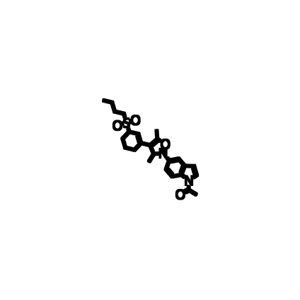 CCCCS(=O)(=O)C1C=C(C2=C(C)ON(c3ccc4c(ccn4C(C)=O)c3)C2C)CCC1